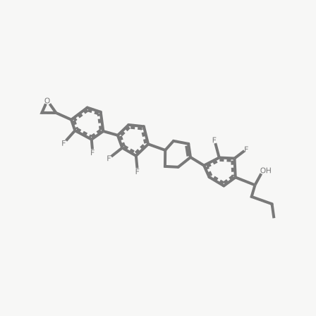 CCCC(O)c1ccc(C2=CCC(c3ccc(-c4ccc(C5CO5)c(F)c4F)c(F)c3F)CC2)c(F)c1F